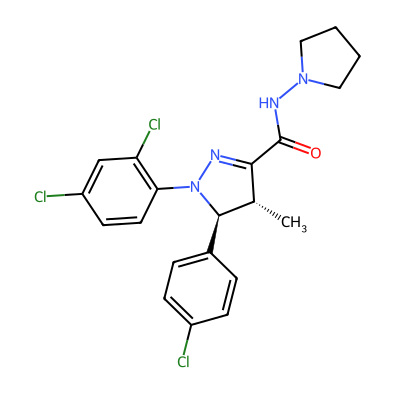 C[C@H]1C(C(=O)NN2CCCC2)=NN(c2ccc(Cl)cc2Cl)[C@@H]1c1ccc(Cl)cc1